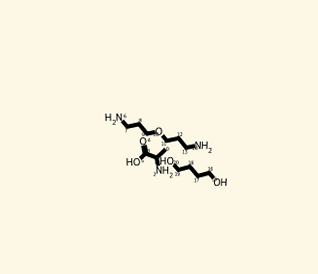 CC(N)C(=O)O.NCCCOCCCN.OCCCCO